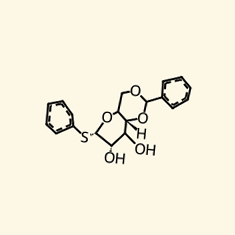 OC1[C@H]2OC(c3ccccc3)OCC2O[C@@H](Sc2ccccc2)[C@H]1O